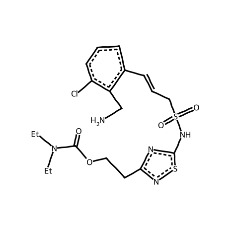 CCN(CC)C(=O)OCCc1nsc(NS(=O)(=O)CC=Cc2cccc(Cl)c2CN)n1